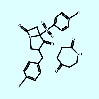 O=C1CC2(S(=O)(=O)c3ccc(Cl)cc3)C(=O)C(Cc3ccc(Cl)cc3)CN12.O=C1CCNC(=O)CC1